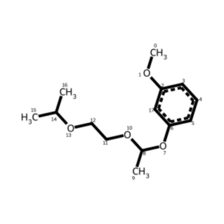 COc1cccc(OC(C)OCCOC(C)C)c1